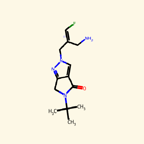 CC(C)(C)N1Cc2nn(C/C(=C/F)CN)cc2C1=O